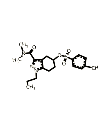 CCCn1nc(C(=O)N(C)C)c2c1CCC(OS(=O)(=O)c1ccc(C)cc1)C2